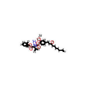 CCCCCCCC(=O)CCc1ccc(OC(=O)N[C@H](C(=O)OC2CC3CCC2(C)C3(C)C)C(C)C)c(OC)c1